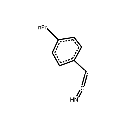 CCCc1ccc(N=C=N)cc1